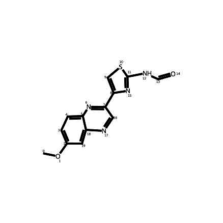 COc1ccc2nc(-c3csc(NC=O)n3)[c]nc2c1